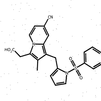 Cc1c(Cc2cccn2S(=O)(=O)c2ccccc2)c2cc(C#N)ccn2c1CC(=O)O